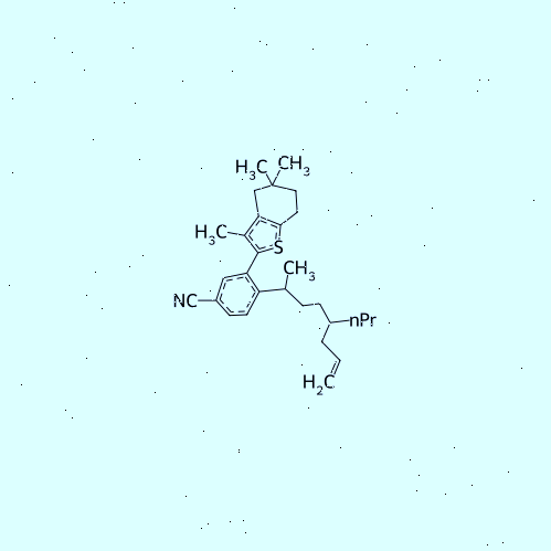 C=CCC(CCC)CCC(C)c1ccc(C#N)cc1-c1sc2c(c1C)CC(C)(C)CC2